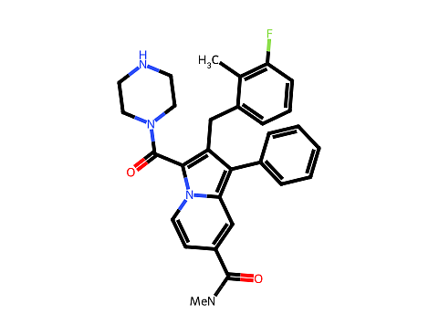 CNC(=O)c1ccn2c(C(=O)N3CCNCC3)c(Cc3cccc(F)c3C)c(-c3ccccc3)c2c1